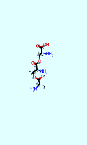 C[C@H](N)C(=O)O[C@H](C)[C@H](N)C(=O)OC[C@H](N)C(=O)O